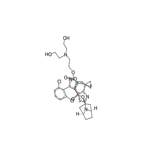 O=C(OCCN(CCO)CCO)c1cc(F)c2nc(N3[C@@H]4CC[C@H]3C[C@@H](OC(=O)c3c(-c5c(Cl)cccc5Cl)noc3C3CC3)C4)sc2c1